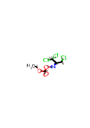 CCOC(=O)ON=C(CCl)C(Cl)Cl